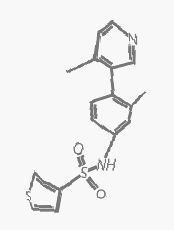 Cc1cc(NS(=O)(=O)c2ccsc2)ccc1-c1cnccc1C